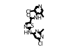 Cc1nc(Cl)cc(Nc2ncc(C(=O)Nc3c(C)cncc3Cl)s2)n1